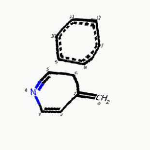 C=C1C=CN=CC1.c1ccccc1